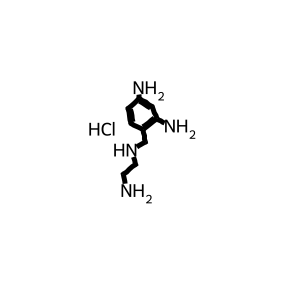 Cl.NCCNCc1ccc(N)cc1N